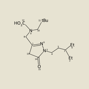 CCC(CC)CCN1N=C(CN(CC(C)(C)C)C(=O)O)CC1=O